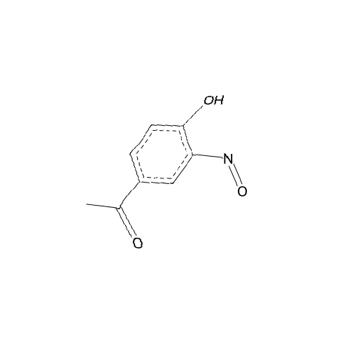 CC(=O)c1ccc(O)c(N=O)c1